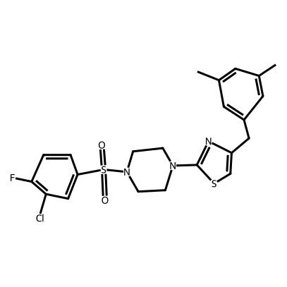 Cc1cc(C)cc(Cc2csc(N3CCN(S(=O)(=O)c4ccc(F)c(Cl)c4)CC3)n2)c1